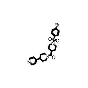 O=C(C1CCN(S(=O)(=O)c2ccc(Br)cc2)CC1)N1CCC(c2ccncc2)CC1